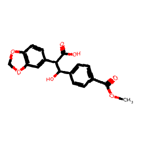 COC(=O)c1ccc(C(O)C(C(=O)O)c2ccc3c(c2)OCO3)cc1